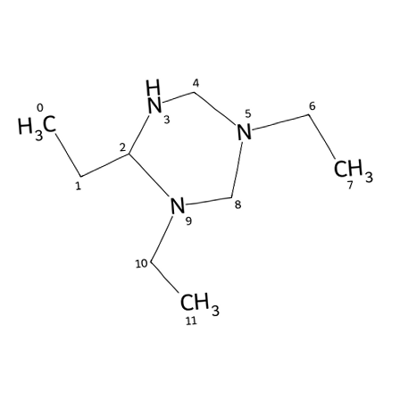 CCC1NCN(CC)CN1CC